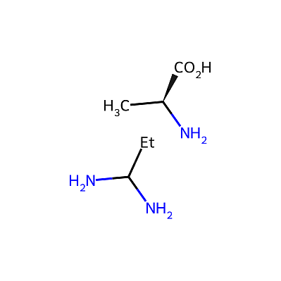 CCC(N)N.C[C@H](N)C(=O)O